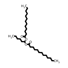 CCCCCCCCCCCCC(=O)OC(CCCCC)OC(=O)CCCCCCCCCCCC